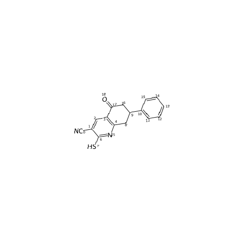 N#Cc1cc2c(nc1S)CC(c1ccccc1)CC2=O